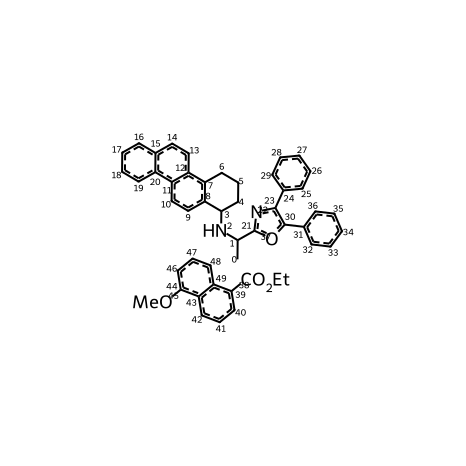 CC(NC1CCCc2c1ccc1c2ccc2ccccc21)c1nc(-c2ccccc2)c(-c2ccccc2)o1.CCOC(=O)c1cccc2c(OC)cccc12